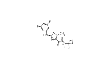 Cc1sc(Nc2cc(F)cc(F)c2)nc1C(=O)N[C@@H]1CCC12CCC2